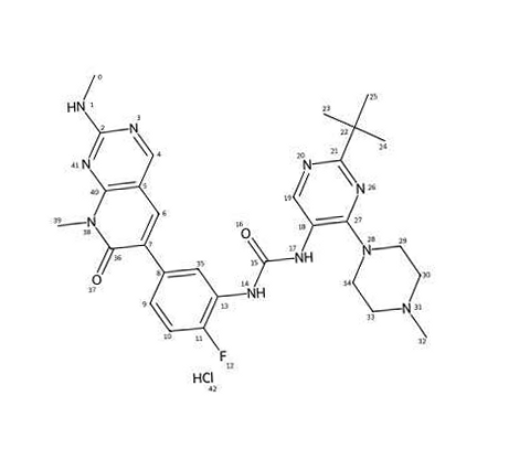 CNc1ncc2cc(-c3ccc(F)c(NC(=O)Nc4cnc(C(C)(C)C)nc4N4CCN(C)CC4)c3)c(=O)n(C)c2n1.Cl